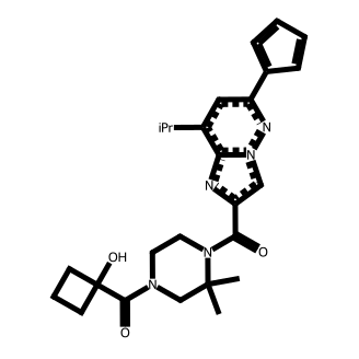 CC(C)c1cc(C2=C=CC=C2)nn2cc(C(=O)N3CCN(C(=O)C4(O)CCC4)CC3(C)C)nc12